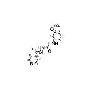 CCCCOc1cccc(NCC(=O)N/N=C(\C)c2ccncc2)c1